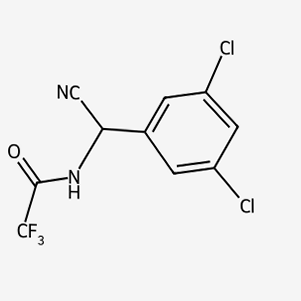 N#CC(NC(=O)C(F)(F)F)c1cc(Cl)cc(Cl)c1